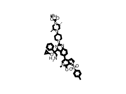 Cc1ccc(S(=O)(=O)n2ccc3c(-c4ccc5nc(N6CCC(N7C[C@@H](C)N(C(=O)OC(C)(C)C)C[C@@H]7C)CC6)nc(C(CN)(OC6CC6)c6ccccc6)c5c4)cn(C)c(=O)c32)cc1